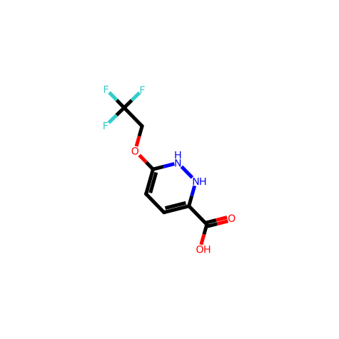 O=C(O)C1=CC=C(OCC(F)(F)F)NN1